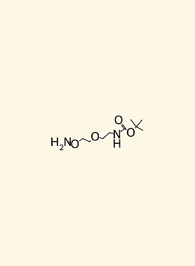 CC(C)(C)OC(=O)NCCOCCON